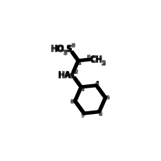 CC([AsH]C1CCCCC1)S(=O)(=O)O